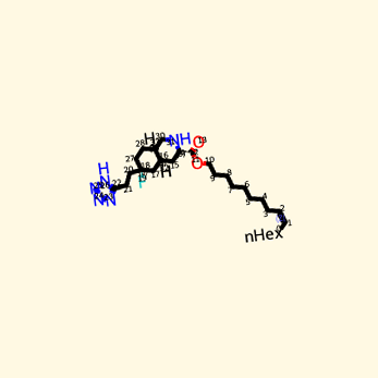 CCCCCC/C=C\CCCCCCCCOC(=O)[C@@H]1C[C@H]2C[C@@](F)(CCc3nnn[nH]3)CC[C@H]2CN1